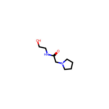 O=C(CN1CCCC1)NCCO